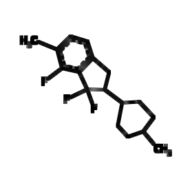 Cc1ccc2c(c1F)C(F)(F)C(C1CCC(C)CC1)C2